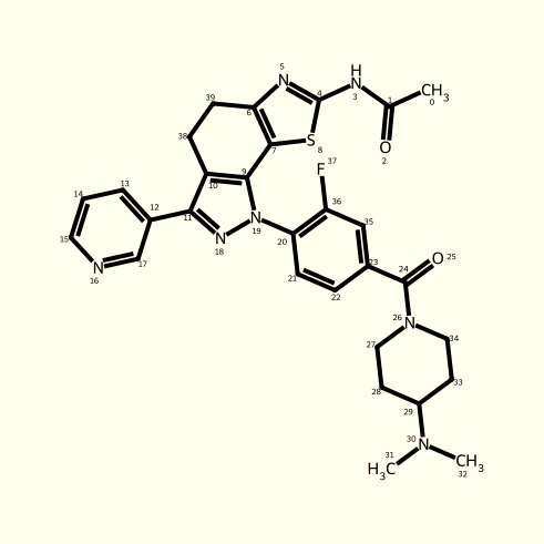 CC(=O)Nc1nc2c(s1)-c1c(c(-c3cccnc3)nn1-c1ccc(C(=O)N3CCC(N(C)C)CC3)cc1F)CC2